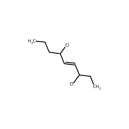 CCCC(Cl)C=CC(Cl)CC